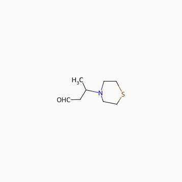 CC(CC=O)N1CCSCC1